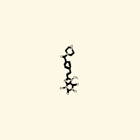 CCn1c(=O)c2c(nc(/C=C/c3ccc(C(=O)N4CCNCC4)cc3)n2C)n(CC)c1=O